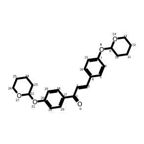 O=C(C=Cc1ccc(OC2CCCCO2)cc1)c1ccc(OC2CCCCO2)cc1